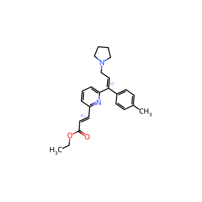 CCOC(=O)/C=C/c1cccc(/C(=C\CN2CCCC2)c2ccc(C)cc2)n1